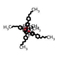 CCCCCC1CCC(c2ccc(C(O)(c3ccc(C4CCC(CCCCC)CC4)cc3F)[C@@H]3OC(C)(C)O[C@H]3C(O)(c3ccc(C4CCC(CCCCC)CC4)cc3F)c3ccc(C4CCC(CCCCC)CC4)cc3F)c(F)c2)CC1